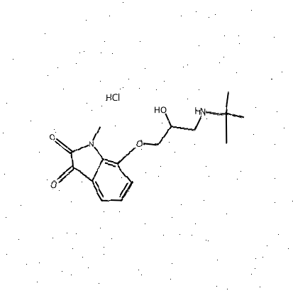 CN1C(=O)C(=O)c2cccc(OCC(O)CNC(C)(C)C)c21.Cl